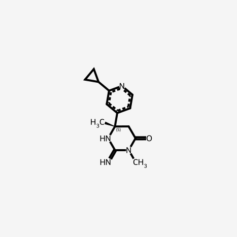 CN1C(=N)N[C@](C)(c2ccnc(C3CC3)c2)CC1=O